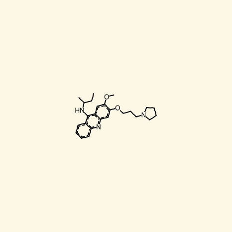 CCC(C)Nc1c2ccccc2nc2cc(OCCCN3CCCC3)c(OC)cc12